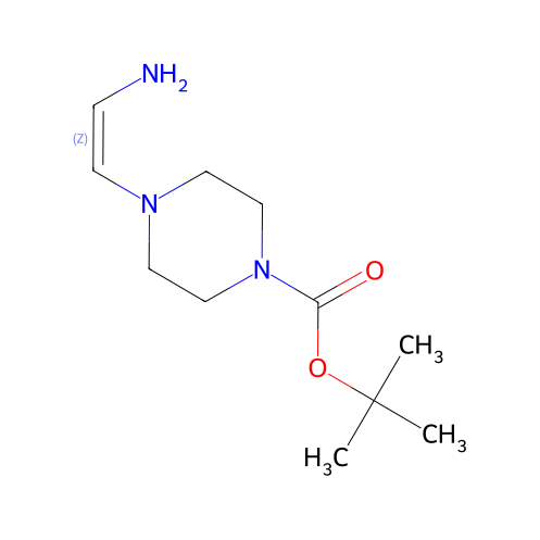 CC(C)(C)OC(=O)N1CCN(/C=C\N)CC1